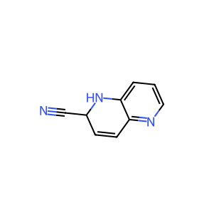 N#CC1C=Cc2ncccc2N1